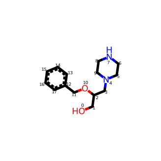 OCC(CN1CCNCC1)OCc1ccccc1